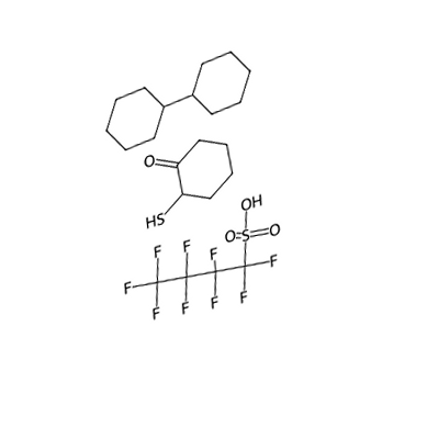 C1CCC(C2CCCCC2)CC1.O=C1CCCCC1S.O=S(=O)(O)C(F)(F)C(F)(F)C(F)(F)C(F)(F)F